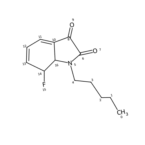 CCCCCN1C(=O)C(=O)C2=CC=CC(F)C21